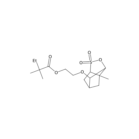 CCC(C)(C)C(=O)OCCOC1C2CC3C(C)(C2)C1OS3(=O)=O